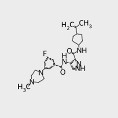 C=C(C)C1CCC(NC(=O)c2n[nH]cc2NC(=O)c2cc(F)cc(N3CCN(C)CC3)c2)CC1